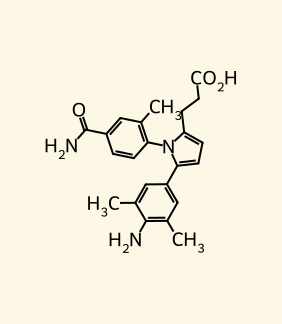 Cc1cc(C(N)=O)ccc1-n1c(CCC(=O)O)ccc1-c1cc(C)c(N)c(C)c1